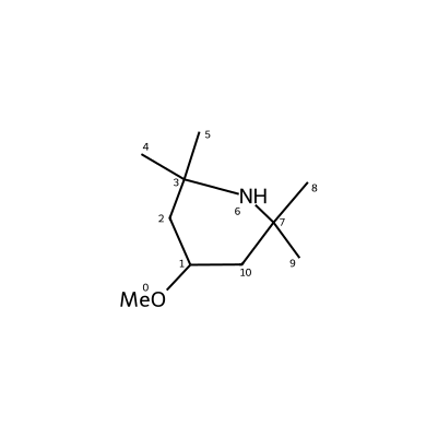 COC1CC(C)(C)NC(C)(C)C1